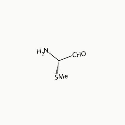 CS[C@H](N)C=O